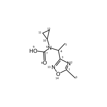 Cc1nc(C(C)N(C(=O)O)C2CC2)no1